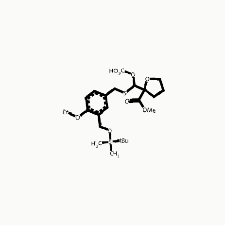 CCOc1ccc(CSC(OC(=O)O)C2(C(=O)OC)CCCO2)cc1CO[Si](C)(C)C(C)(C)C